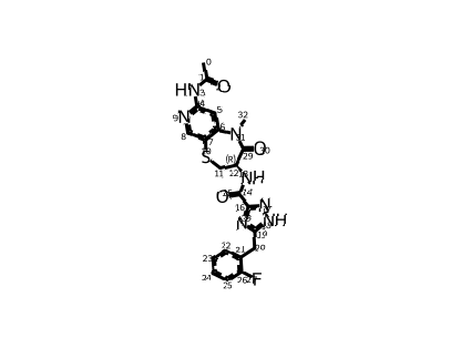 CC(=O)Nc1cc2c(cn1)SC[C@H](NC(=O)c1n[nH]c(Cc3ccccc3F)n1)C(=O)N2C